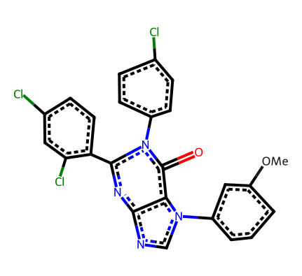 COc1cccc(-n2cnc3nc(-c4ccc(Cl)cc4Cl)n(-c4ccc(Cl)cc4)c(=O)c32)c1